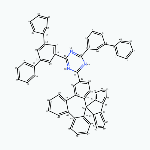 c1ccc(-c2cccc(-c3nc(-c4cc(-c5ccccc5)cc(-c5ccccc5)c4)nc(-c4ccc5c(c4)-c4ccccc4-c4ccccc4C54c5ccccc5-c5ccccc54)n3)c2)cc1